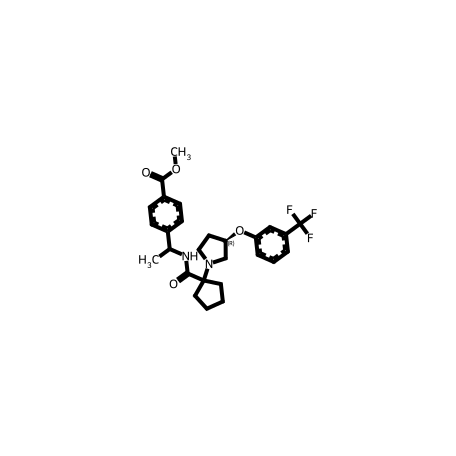 COC(=O)c1ccc(C(C)NC(=O)C2(N3CC[C@@H](Oc4cccc(C(F)(F)F)c4)C3)CCCC2)cc1